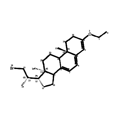 CCOC1=CC2=CC=C3C4CC[C@H]([C@H](C)CBr)[C@@]4(C)CCC3[C@]2(C)CC1